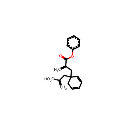 C=C(CC1(CC(=C)C(=O)Oc2ccccc2)C=CC=CC1)C(=O)O